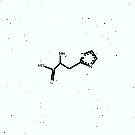 NC(Cc1ncco1)C(=O)O